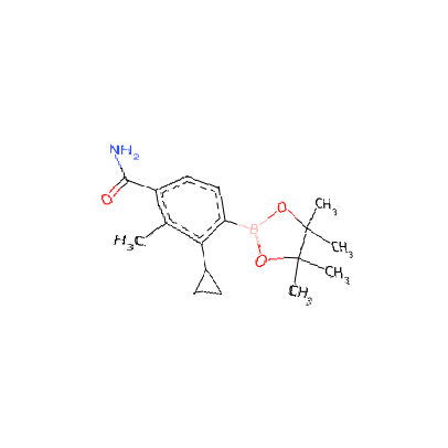 Cc1c(C(N)=O)ccc(B2OC(C)(C)C(C)(C)O2)c1C1CC1